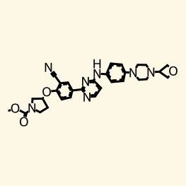 COC(=O)N1CC[C@@H](Oc2ccc(-c3nccc(Nc4ccc(N5CCN(C6COC6)CC5)cc4)n3)cc2C#N)C1